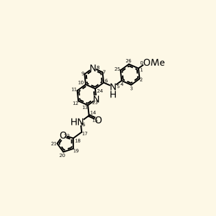 COc1ccc(Nc2cncc3ccc(C(=O)NCc4ccco4)nc23)cc1